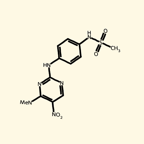 CNc1nc(Nc2ccc(NS(C)(=O)=O)cc2)ncc1[N+](=O)[O-]